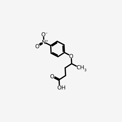 CC(CCC(=O)O)Oc1ccc([N+](=O)[O-])cc1